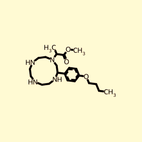 CCCCOc1ccc(C2CN(C(C)C(=O)OC)CCNCCNCCN2)cc1